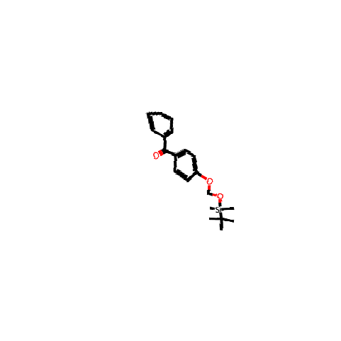 CC(C)(C)[Si](C)(C)OCOc1ccc(C(=O)c2ccccc2)cc1